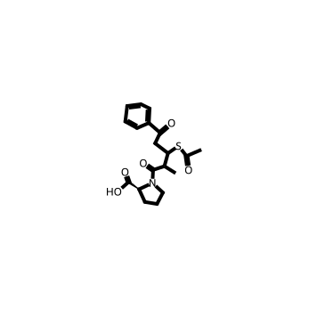 CC(=O)SC(CC(=O)c1ccccc1)C(C)C(=O)N1CCC[C@H]1C(=O)O